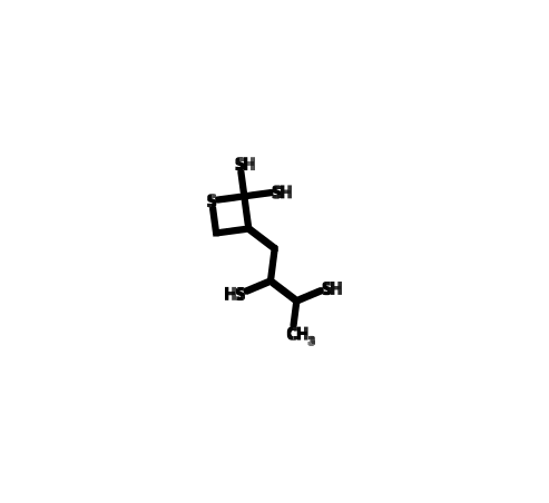 CC(S)C(S)CC1CSC1(S)S